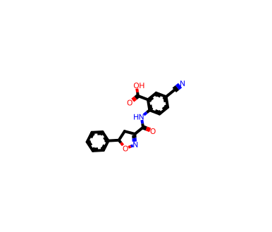 N#Cc1ccc(NC(=O)C2=NOC(c3ccccc3)C2)c(C(=O)O)c1